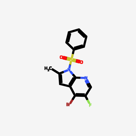 Cc1cc2c(Br)c(F)cnc2n1S(=O)(=O)c1ccccc1